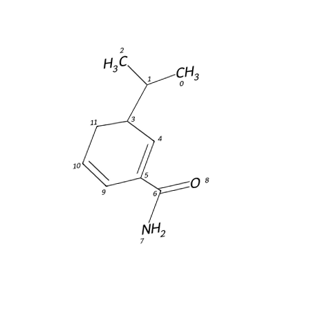 CC(C)C1C=C(C(N)=O)C=CC1